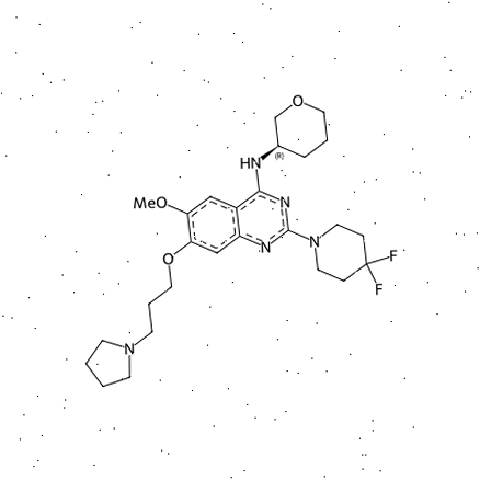 COc1cc2c(N[C@@H]3CCCOC3)nc(N3CCC(F)(F)CC3)nc2cc1OCCCN1CCCC1